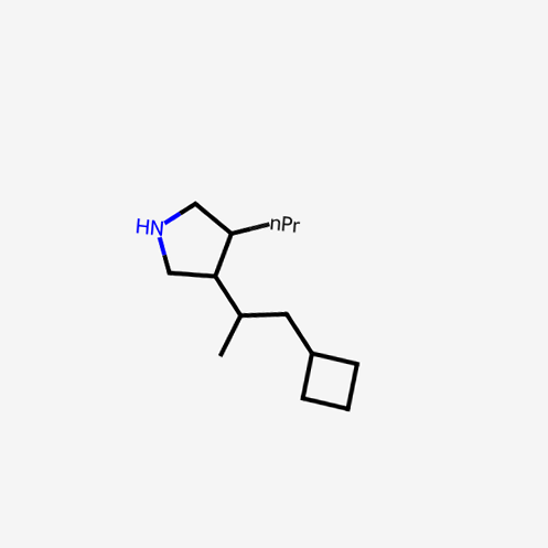 CCCC1CNCC1C(C)CC1CCC1